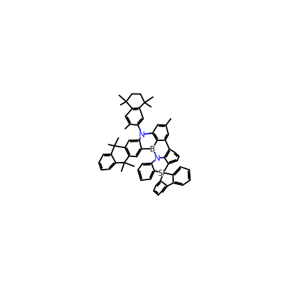 Cc1cc2c3c(c1)N(c1cc4c(cc1C)C(C)(C)CCC4(C)C)c1cc4c(cc1B3N1c3ccccc3[Si]3(c5ccccc5-c5ccccc53)c3cccc-2c31)C(C)(C)c1ccccc1C4(C)C